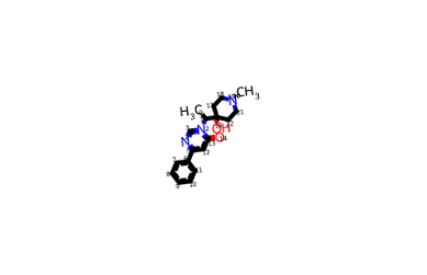 CC(n1cnc(-c2ccccc2)cc1=O)C1(O)CCN(C)CC1